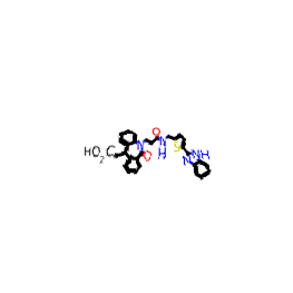 O=C(O)CC1c2ccccc2C(=O)N(CCC(=O)NCc2ccc(-c3nc4ccccc4[nH]3)s2)c2ccccc21